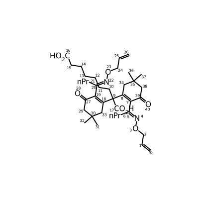 C=CCON=C(CCC)C1=C(C(CCCCCCC(=O)O)(C(=O)O)C2=C(C(CCC)=NOCC=C)C(=O)CC(C)(C)C2)CC(C)(C)CC1=O